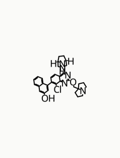 Oc1cc(-c2ccc3c(N4C[C@H]5CC[C@@H](C4)N5)nc(OCC45CCCN4CCC5)nc3c2Cl)c2ccccc2c1